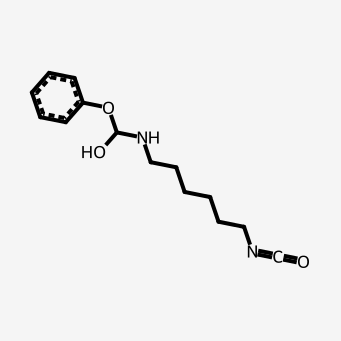 O=C=NCCCCCCNC(O)Oc1ccccc1